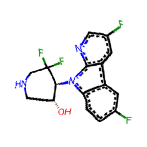 O[C@@H]1CNCC(F)(F)[C@H]1n1c2ccc(F)cc2c2cc(F)cnc21